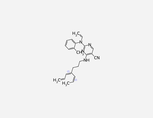 C=C/C=C(\C=C/C)CCCNc1nc(N(C=C)c2ccccc2C)ncc1C#N